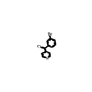 O=C(c1ccncc1)c1cccc(Br)c1